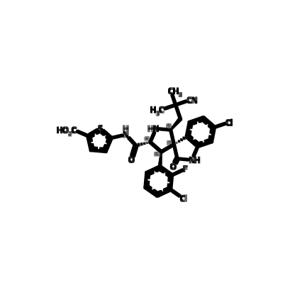 CC(C)(C#N)C[C@@H]1N[C@@H](C(=O)Nc2ccc(C(=O)O)s2)[C@H](c2cccc(Cl)c2F)[C@]12C(=O)Nc1cc(Cl)ccc12